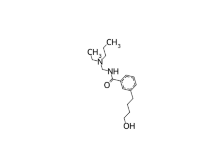 CCCN(CC)CNC(=O)c1cccc(CCCCO)c1